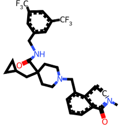 Cn1ccc2c(CN3CCC(CC4CC4)(C(=O)NCc4cc(C(F)(F)F)cc(C(F)(F)F)c4)CC3)cccc2c1=O